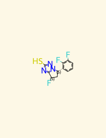 Fc1cccc([C@@H]2C[C@H](F)c3nc(S)nn32)c1F